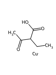 CCC(C(C)=O)C(=O)O.[Cu]